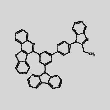 CCc1nc2ccccc2n1-c1ccc(-c2cc(-c3nc4ccccc4c4sc5ccccc5c34)cc(-n3c4ccccc4c4ccccc43)c2)cc1